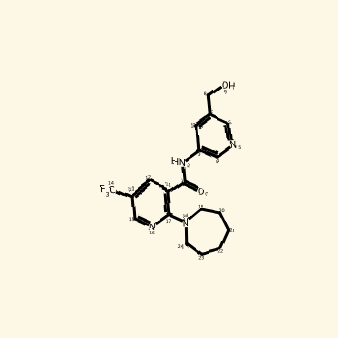 O=C(Nc1cncc(CO)c1)c1cc(C(F)(F)F)cnc1N1CCCCCC1